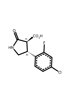 O=C(O)[C@@H]1C(=O)NC[C@H]1c1ccc(Cl)cc1F